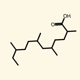 CCC(C)CCC(C)CC(C)CCC(C)C(=O)O